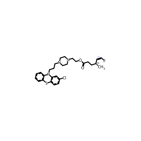 C[C@H](/C=C\F)CCC(=O)OCCN1CCN(CCCN2c3ccccc3Sc3ccc(Cl)cc32)CC1